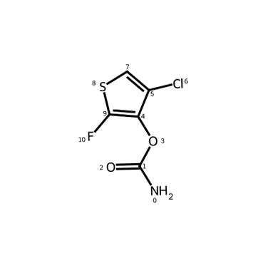 NC(=O)Oc1c(Cl)csc1F